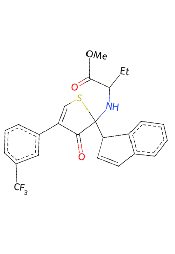 CCC(NC1(C2C=Cc3ccccc32)SC=C(c2cccc(C(F)(F)F)c2)C1=O)C(=O)OC